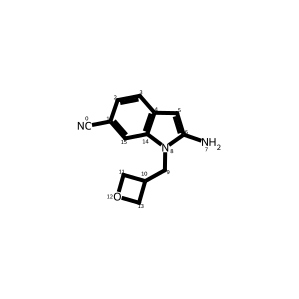 N#Cc1ccc2cc(N)n(CC3COC3)c2c1